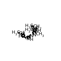 C=C(OC)[C@H]1C(=O)Nc2c(cc(NCc3cnn(Cc4cc(F)c(OCC)c(F)c4)c3)nc2C)N1C